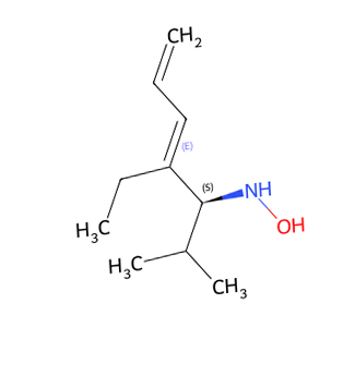 C=C/C=C(\CC)[C@@H](NO)C(C)C